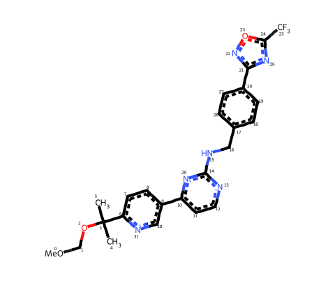 COCOC(C)(C)c1ccc(-c2ccnc(NCc3ccc(-c4noc(C(F)(F)F)n4)cc3)n2)cn1